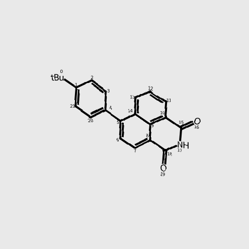 CC(C)(C)c1ccc(-c2ccc3c4c(cccc24)C(=O)NC3=O)cc1